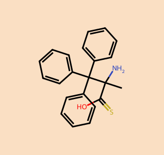 CC(N)(C(O)=S)C(c1ccccc1)(c1ccccc1)c1ccccc1